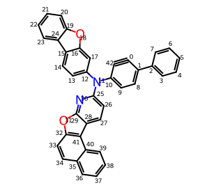 c1c(-c2ccccc2)ccc(N(c2ccc3c(c2)oc2ccccc23)c2ccc3c(n2)oc2ccc4ccccc4c23)c#1